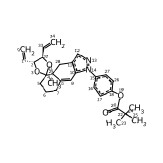 C=C[C@H]1OC2(CCCC3=Cc4c(cnn4-c4ccc(OC(=O)C(C)(C)C)cc4)C[C@@]32C)O[C@@H]1C=C